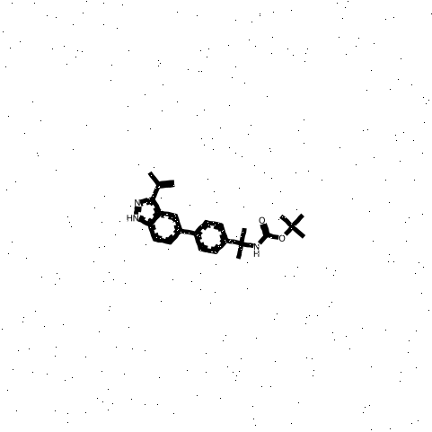 C=C(C)c1n[nH]c2ccc(-c3ccc(C(C)(C)NC(=O)OC(C)(C)C)cc3)cc12